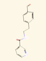 O=Cc1ccc(CCNC(=O)c2cccnc2)cc1